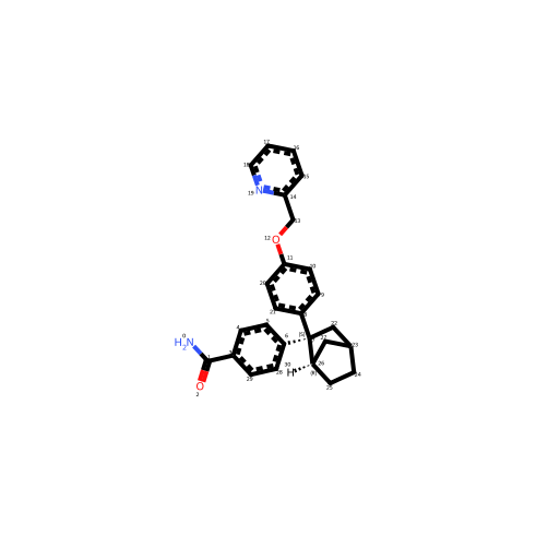 NC(=O)c1ccc([C@]2(c3ccc(OCc4ccccn4)cc3)CC3CC[C@@H]2C3)cc1